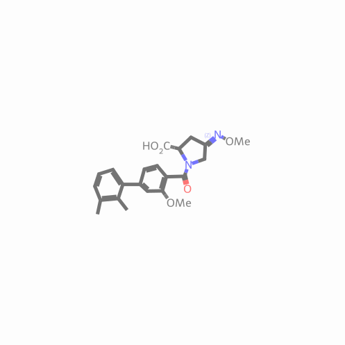 CO/N=C1/CC(C(=O)O)N(C(=O)c2ccc(-c3cccc(C)c3C)cc2OC)C1